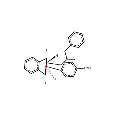 COc1ccc([C@H]2C[C@H]3c4ccccc4[C@@H]2C[C@H]3CN(C)Cc2ccccc2)cc1